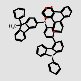 CC1(c2ccccc2)c2ccccc2-c2cc(N(c3ccc(-c4cccc5c4c4ccccc4n5-c4ccccc4)cc3)c3ccccc3-c3ccccc3-c3ccccc3-c3ccccc3)ccc21